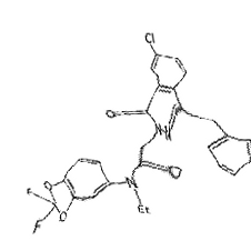 CCN(C(=O)Cn1nc(Cc2cccnc2)c2ccc(Cl)cc2c1=O)c1ccc2c(c1)OC(F)(F)O2